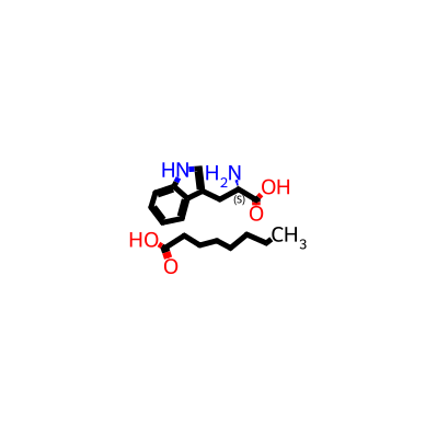 CCCCCCCC(=O)O.N[C@@H](Cc1c[nH]c2ccccc12)C(=O)O